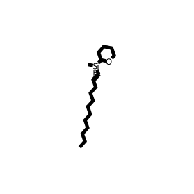 CCCCCCCCCCC=C[SiH](C)C1CCCCO1